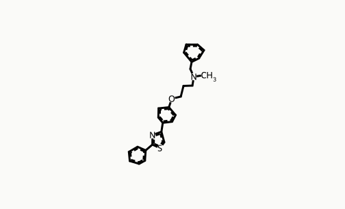 CN(CCCOc1ccc(-c2csc(-c3ccccc3)n2)cc1)Cc1ccccc1